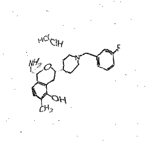 Cc1ccc2c(c1O)C[C@@H](C1CCN(Cc3cccc(F)c3)CC1)O[C@H]2CN.Cl.Cl